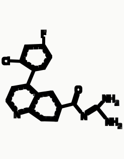 NC(N)=NC(=O)c1ccc2nccc(-c3ccc(F)cc3Cl)c2c1